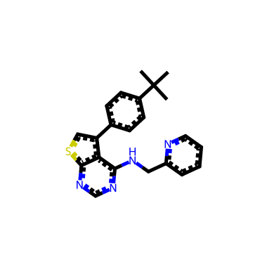 CC(C)(C)c1ccc(-c2csc3ncnc(NCc4ccccn4)c23)cc1